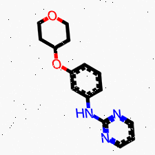 c1cnc(Nc2cccc(OC3CCOCC3)c2)nc1